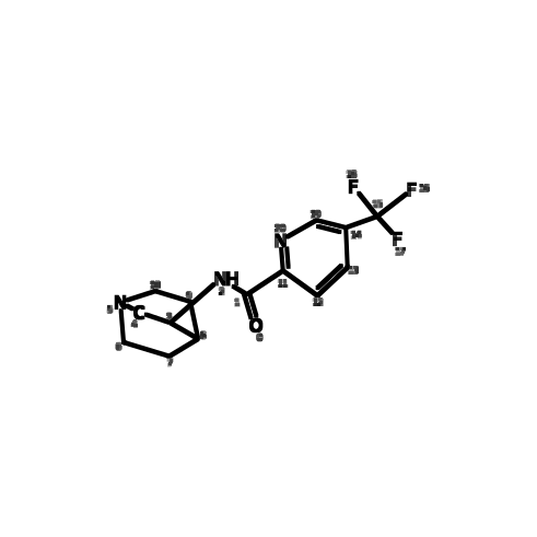 O=C(NC1CN2CCC1CC2)c1ccc(C(F)(F)F)cn1